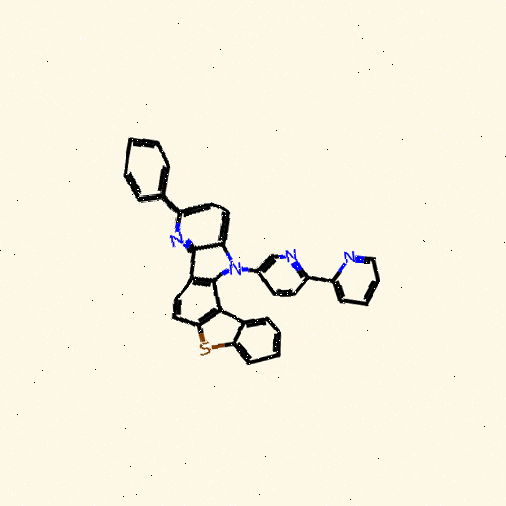 c1ccc(-c2ccc3c(n2)c2ccc4sc5ccccc5c4c2n3-c2ccc(-c3ccccn3)nc2)cc1